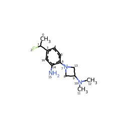 CC(F)c1ccc(N2CC(N(C)C)C2)c(N)c1